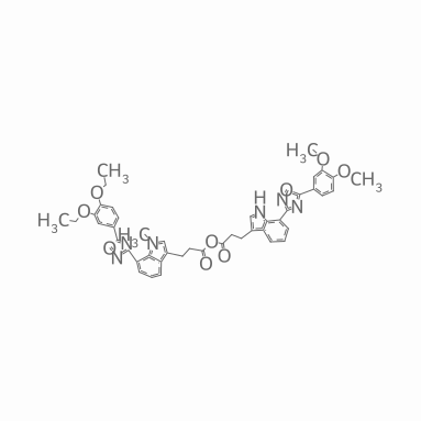 CCOc1ccc(-c2nc(-c3cccc4c(CCC(=O)OC(=O)CCc5c[nH]c6c(-c7noc(-c8ccc(OC)c(OC)c8)n7)cccc56)cn(C)c34)no2)cc1OCC